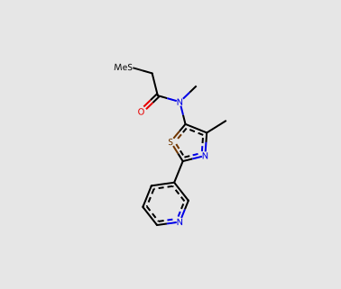 CSCC(=O)N(C)c1sc(-c2cccnc2)nc1C